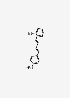 CCc1ccccc1C=CC=Cc1ccc(C(C)(C)C)cc1